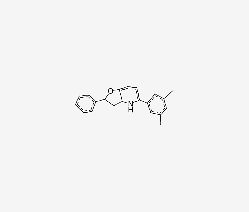 Cc1cc(C)cc(C2=CC=C3OC(c4ccccc4)CC3N2)c1